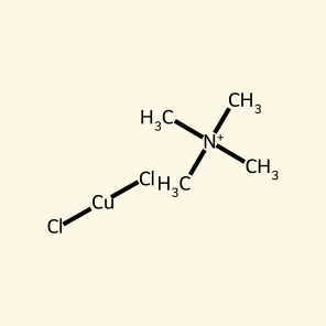 C[N+](C)(C)C.[Cl][Cu][Cl]